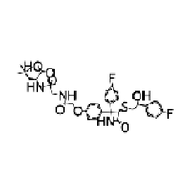 CC(C)(C)C[C@H](NC(=O)CNC(=O)COc1ccc([C@]2(c3ccc(F)cc3)NC(=O)[C@@H]2SCC(O)c2ccc(F)cc2)cc1)C(=O)O